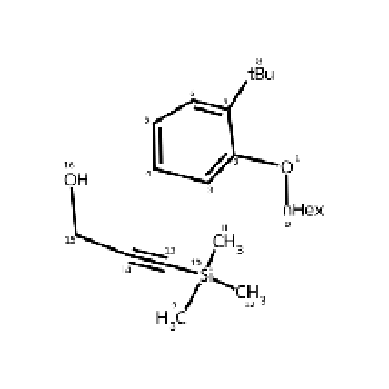 CCCCCCOc1ccccc1C(C)(C)C.C[Si](C)(C)C#CCO